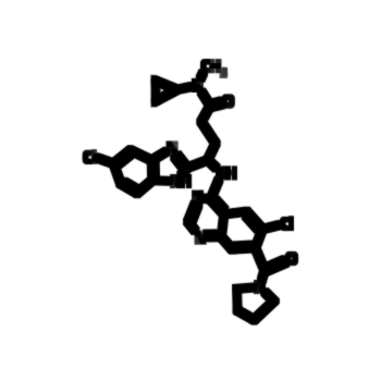 CN(C(=O)CCC(Nc1ncnc2cc(C(=O)N3CCCC3)c(Cl)cc12)c1nc2cc(Cl)ccc2[nH]1)C1CC1